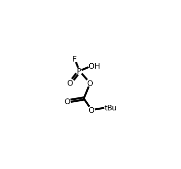 CC(C)(C)OC(=O)OP(=O)(O)F